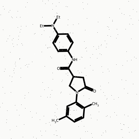 CCN(CC)c1ccc(NC(=O)C2CC(=O)N(c3cc(C)ccc3C)C2)cc1